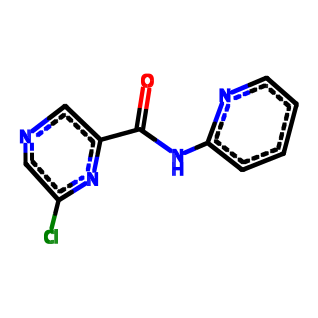 O=C(Nc1ccccn1)c1cncc(Cl)n1